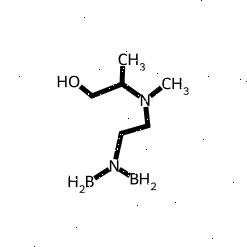 BN(B)CCN(C)C(C)CO